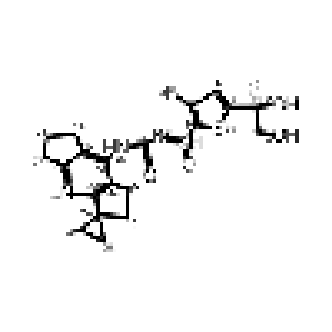 C[C@](O)(CO)c1cc(F)c(/[SH](=O)=N/C(=O)Nc2c3c(nc4c2CCC42CC2)CCC3)s1